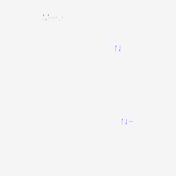 COc1cncc(C2=CCC3CCCNC23)c1